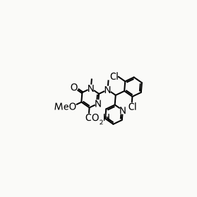 COc1c(C(=O)O)nc(N(C)C(c2ccccn2)c2c(Cl)cccc2Cl)n(C)c1=O